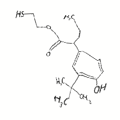 CCC(C(=O)OCCS)c1ccc(O)c(C(C)(C)C)c1